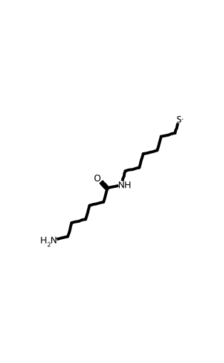 NCCCCCC(=O)NCCCCCC[S]